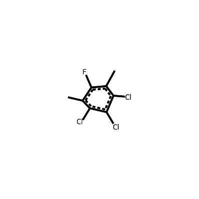 Cc1c(F)c(C)c(Cl)c(Cl)c1Cl